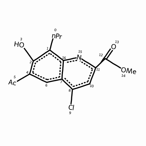 CCCc1c(O)c(C(C)=O)cc2c(Cl)cc(C(=O)OC)nc12